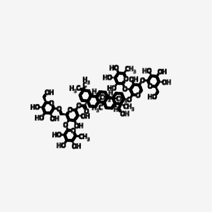 C[C@@H]1O[C@@H](O[C@H]2[C@H](O[C@H]3CC[C@@]4(C)[C@@H](CC[C@]5(C)[C@@H]4CC=C4[C@@H]6CC(C)(C)CC[C@]6(C(=O)O[C@@H]6O[C@H](CO[C@@H]7O[C@H](CO)[C@@H](O)[C@H](O)[C@H]7O)[C@@H](O[C@@H]7O[C@@H](C)[C@H](O)[C@@H](O)[C@H]7O)[C@H](O)[C@H]6O)CC[C@]45C)[C@]3(C)CO)OC[C@H](O[C@@H]3O[C@H](CO)[C@@H](O)[C@H](O)[C@H]3O)[C@@H]2O)[C@H](O)[C@H](O)[C@H]1O